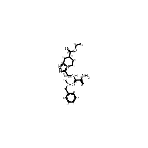 C=C(N)C(=O)N[C@H](COCc1ccccc1)c1nnc2n1CCC(C(=O)OCC)C2